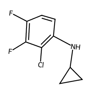 Fc1ccc(NC2CC2)c(Cl)c1F